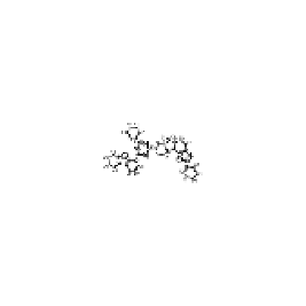 CC1(C)c2cc(-c3nc(-c4ccccc4)nc(-c4cccc5c4oc4ccccc45)n3)ccc2-c2c1ccc1nc(-c3ccccc3)oc21